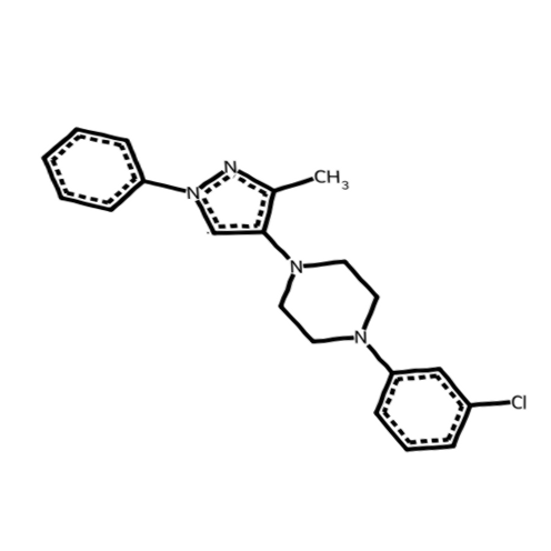 Cc1nn(-c2ccccc2)[c]c1N1CCN(c2cccc(Cl)c2)CC1